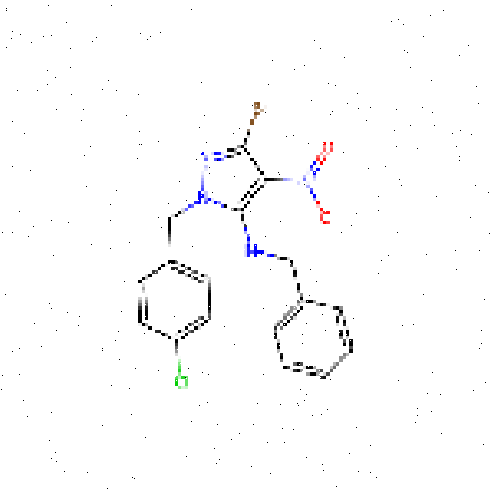 O=[N+]([O-])c1c(Br)nn(Cc2ccc(Cl)cc2)c1NCc1ccccc1